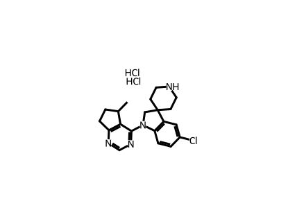 CC1CCc2ncnc(N3CC4(CCNCC4)c4cc(Cl)ccc43)c21.Cl.Cl